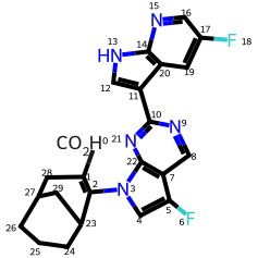 O=C(O)C1=C(n2cc(F)c3cnc(-c4c[nH]c5ncc(F)cc45)nc32)C2CCCC(C1)C2